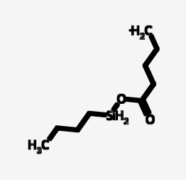 [CH2]CCCC(=O)O[SiH2]CCCC